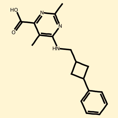 Cc1nc(NCC2CC(c3ccccc3)C2)c(C)c(C(=O)O)n1